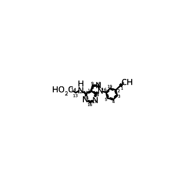 C#Cc1cccc(-n2ncc3c(NCC(=O)O)ncnc32)c1